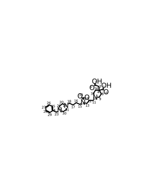 O=C(O)CC1(C(=O)O)CCN(CC2CN(CCCCN3CCN(Cc4ccccc4)CC3)C(=O)O2)CC1